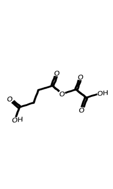 O=C(O)CCC(=O)OC(=O)C(=O)O